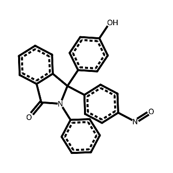 O=Nc1ccc(C2(c3ccc(O)cc3)c3ccccc3C(=O)N2c2ccccc2)cc1